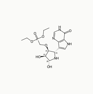 CCOP(=O)(CO[C@@H]1[C@H](O)[C@@H](O)N[C@H]1c1c[nH]c2c(=O)[nH]cnc12)OCC